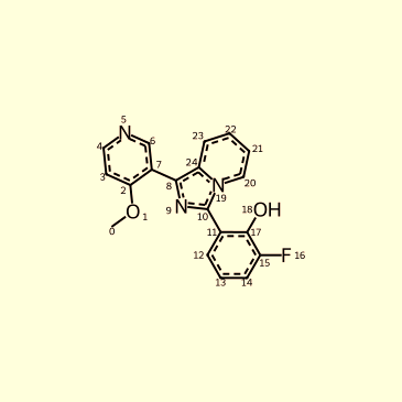 COc1ccncc1-c1nc(-c2cccc(F)c2O)n2ccccc12